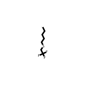 [CH2]CCCCSCC(F)(F)F